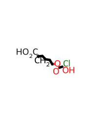 C=C(CCCCOC(=O)C(O)Cl)C(=O)O